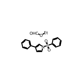 CCOC=O.O=S(=O)(c1ccccc1)n1ccc(-c2ccccc2)c1